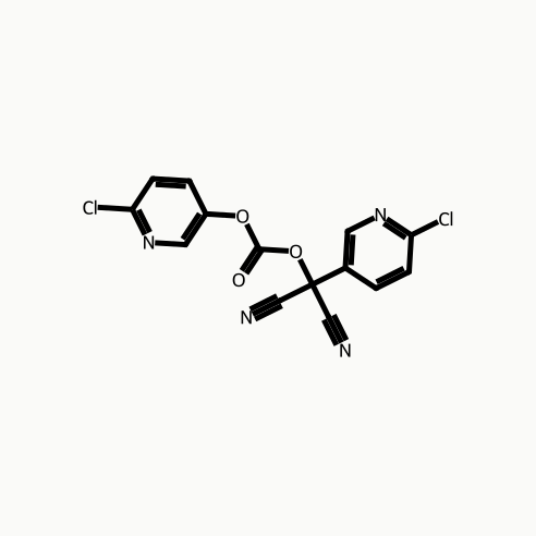 N#CC(C#N)(OC(=O)Oc1ccc(Cl)nc1)c1ccc(Cl)nc1